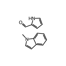 Cn1ccc2ccccc21.O=Cc1ccc[nH]1